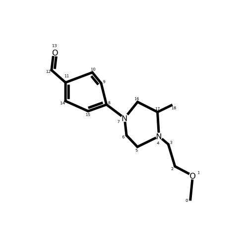 COCCN1CCN(c2ccc(C=O)cc2)CC1C